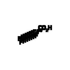 C/C(=C\CC(F)(F)C(F)(F)C(F)(F)C(F)(F)C(F)(F)C(F)(F)C(F)(F)C(F)F)C(=O)O